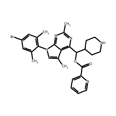 Cc1nc(C(OC(=O)c2ccccn2)C2CCNCC2)c2c(C)cn(-c3c(C)cc(Br)cc3C)c2n1